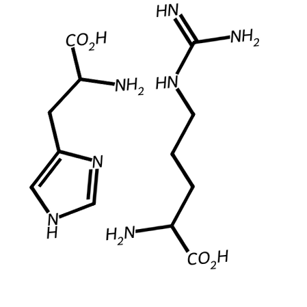 N=C(N)NCCCC(N)C(=O)O.NC(Cc1c[nH]cn1)C(=O)O